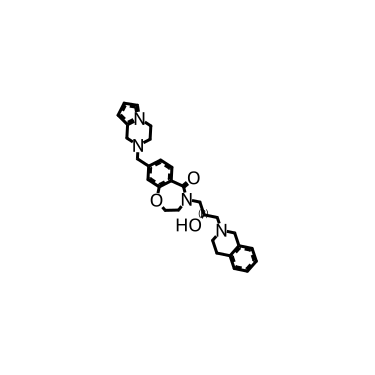 O=C1c2ccc(CN3CCn4cccc4C3)cc2OCCN1C[C@H](O)CN1CCc2ccccc2C1